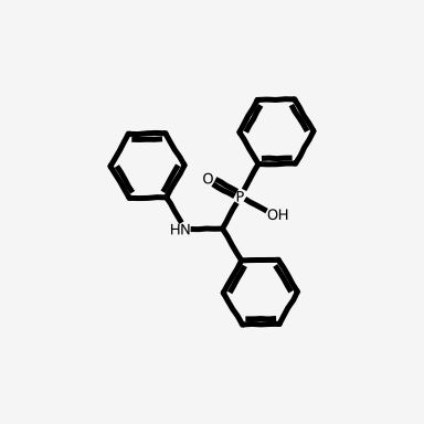 O=P(O)(c1ccccc1)C(Nc1ccccc1)c1ccccc1